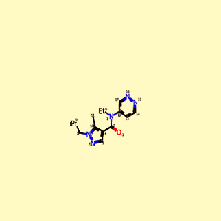 CCN(C(=O)c1cnn(CC(C)C)c1C)c1ccnnc1